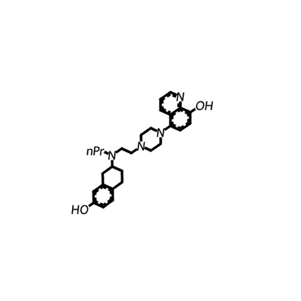 CCCN(CCN1CCN(c2ccc(O)c3ncccc23)CC1)C1CCc2ccc(O)cc2C1